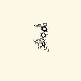 Cc1c(Cl)c(C(F)(F)F)nn1CC(C=O)N1CCN(c2ccc(Cl)c(OC(C)C)c2)CC1